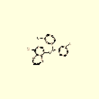 Clc1cccc(B(Oc2ccc(Cl)c3cccnc23)c2cccc(Cl)c2)c1